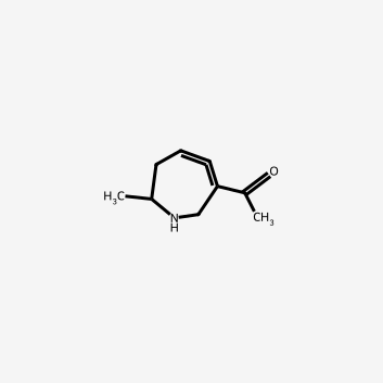 CC(=O)C1=C=CCC(C)NC1